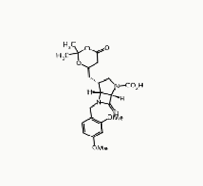 COc1ccc(CN2C(=O)[C@@H]3[C@H]2[C@H](CC2CC(=O)OC(C)(C)O2)CN3C(=O)O)c(OC)c1